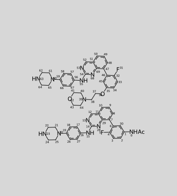 CC(=O)Nc1ccc(F)c(-c2cccc3cnc(Nc4ccc(N5CCNCC5)cc4)nc23)c1.Fc1ccc(OCCN2CCOCC2)cc1-c1cccc2cnc(Nc3ccc(N4CCNCC4)cc3)nc12